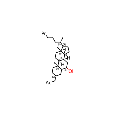 CC(=O)C[C@H]1CC[C@@]2(C)C(C1)[C@H](O)C[C@H]1[C@@H]3CC[C@H]([C@H](C)CCCC(C)C)[C@@]3(C)CC[C@@H]12